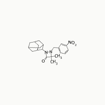 CC1(C)C(=O)N(C2C3CC4CC(C3)CC2C4)N1Cc1cccc([N+](=O)[O-])c1